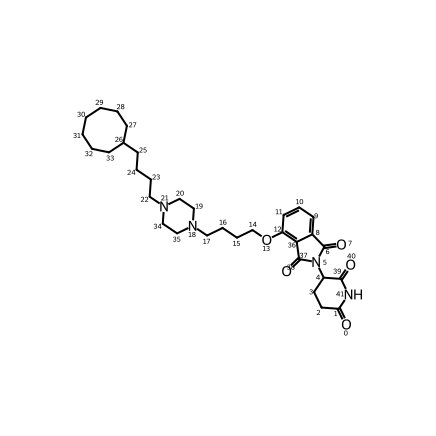 O=C1CCC(N2C(=O)c3cccc(OCCCCN4CCN(CCCCC5CCCCCCC5)CC4)c3C2=O)C(=O)N1